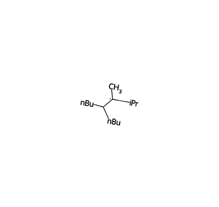 CCCCC(CCCC)[C](C)C(C)C